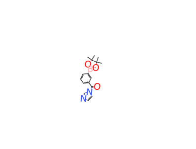 CC1(C)OB(c2cccc(C(=O)n3ccnc3)c2)OC1(C)C